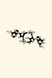 Nc1nc2c(ncn2[C@@H]2O[C@@H]3COP(=O)(S)OC4C(F)C(n5cnc6c(N)ncnc65)O[C@@H]4COP(=O)(S)OC2C3O)c(=O)[nH]1